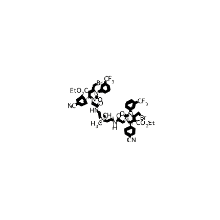 CCOC(=O)C1=C(CBr)N(c2cccc(C(F)(F)F)c2)C(=O)N(CC(=O)NCC[N+](C)(C)CCNC(=O)CN2C(=O)N(c3cccc(C(F)(F)F)c3)C(CBr)=C(C(=O)OCC)[C@H]2c2ccc(C#N)cc2)[C@@H]1c1ccc(C#N)cc1